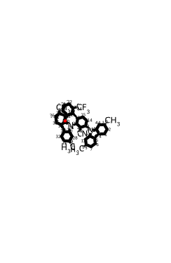 Cc1ccc2c3ccc(C)cc3n(-c3ccc(-c4c(C(F)(F)F)cccc4C(F)(F)F)c(-n4c5cc(C)ccc5c5ccc(C)cc54)c3C#N)c2c1